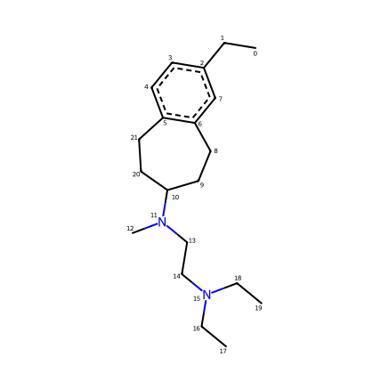 CCc1ccc2c(c1)CCC(N(C)CCN(CC)CC)CC2